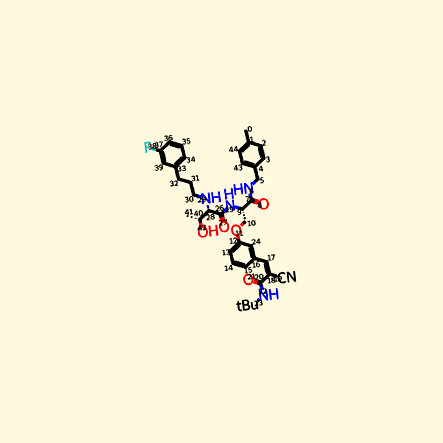 Cc1ccc(CNC(=O)[C@H](COc2cccc(C=C(C#N)C(=O)NC(C)(C)C)c2)NC(=O)[C@@H](NCCCc2cccc(F)c2)[C@@H](C)O)cc1